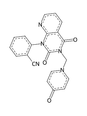 N#Cc1ccccc1-n1c(=O)n(Cn2ccc(=O)cc2)c(=O)c2cccnc21